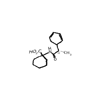 C[C@H](C(=O)NC1(C(=O)O)CCCCC1)C1C=CC=CC1